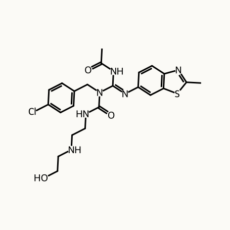 CC(=O)N/C(=N\c1ccc2nc(C)sc2c1)N(Cc1ccc(Cl)cc1)C(=O)NCCNCCO